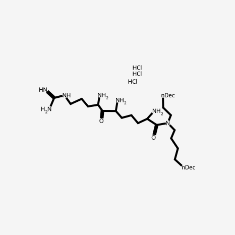 CCCCCCCCCCCCCCN(CCCCCCCCCCCC)C(=O)C(N)CCCC(N)C(=O)C(N)CCCNC(=N)N.Cl.Cl.Cl